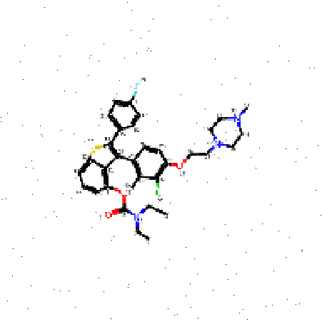 CCN(CC)C(=O)Oc1cccc2sc(-c3ccc(F)cc3)c(-c3ccc(OCCN4CCN(C)CC4)c(Cl)c3C)c12